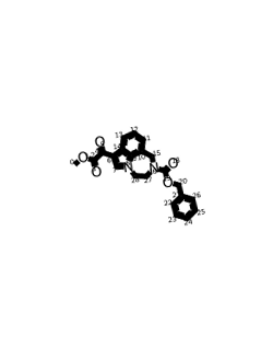 COC(=O)C(=O)c1cn2c3c(cccc13)CN(C(=O)OCc1ccccc1)CC2